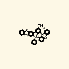 Cc1cc2c3c(c1)N1c4ccccc4Sc4cccc(c41)B3N(c1ccccc1)c1cc3c(cc1-2)Sc1ccccc1O3